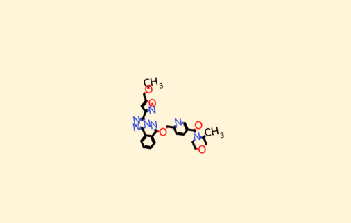 COCc1cc(-c2nnc3c4ccccc4c(OCc4ccc(C(=O)N5CCOCC5C)cn4)nn23)no1